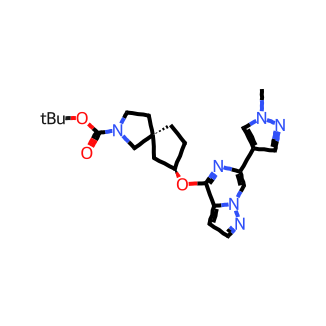 Cn1cc(-c2cn3nccc3c(O[C@@H]3CC[C@]4(CCN(C(=O)OC(C)(C)C)C4)C3)n2)cn1